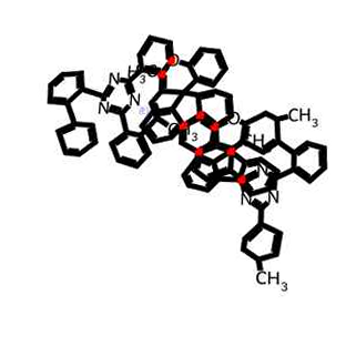 CC1=C(/C=C(\C)c2ccccc2-c2nc(-c3ccccc3)nc(-c3ccccc3-c3ccccc3)n2)C2(c3ccccc3O1)c1ccccc1-c1c(C3C=CC=C(c4nc(C5=CCC(C)C=C5)nc(-c5ccccc5C5=CC6=C(CC5C)Oc5ccccc5C65c6ccccc6-c6ccccc65)n4)C3C)cccc12